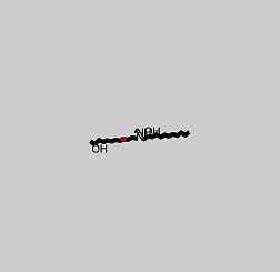 CCCCCCCCCCC(O)CN(CCCCCCCCCCC(C)O)NC